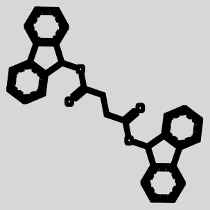 O=C(CCC(=O)OC1c2ccccc2-c2ccccc21)OC1c2ccccc2-c2ccccc21